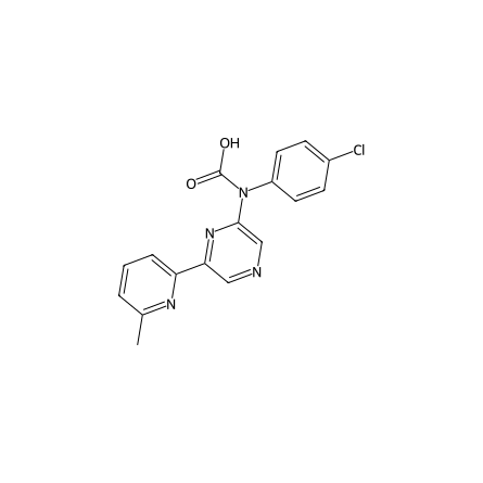 Cc1cccc(-c2cncc(N(C(=O)O)c3ccc(Cl)cc3)n2)n1